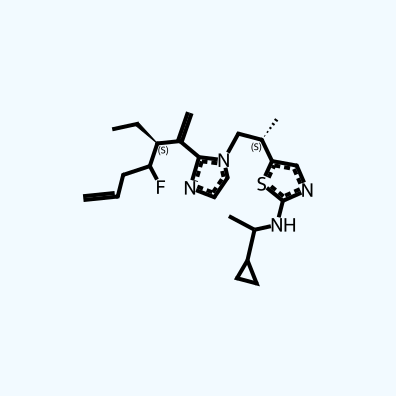 C=CCC(F)[C@@H](CC)C(=C)c1nccn1C[C@H](C)c1cnc(NC(C)C2CC2)s1